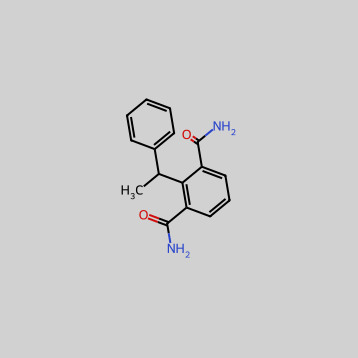 CC(c1ccccc1)c1c(C(N)=O)cccc1C(N)=O